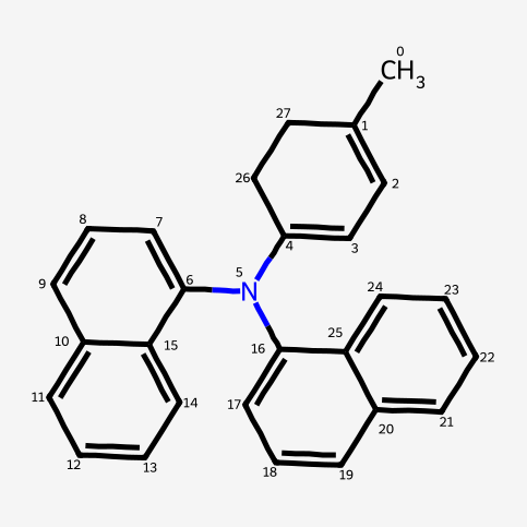 CC1=CC=C(N(c2cccc3ccccc23)c2cccc3ccccc23)CC1